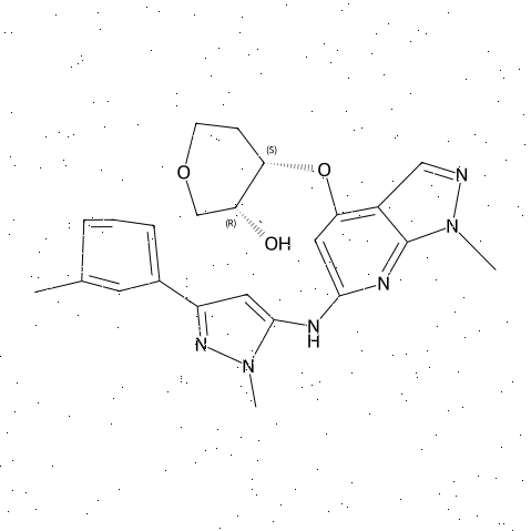 Cc1cccc(-c2cc(Nc3cc(O[C@H]4CCOC[C@H]4O)c4cnn(C)c4n3)n(C)n2)c1